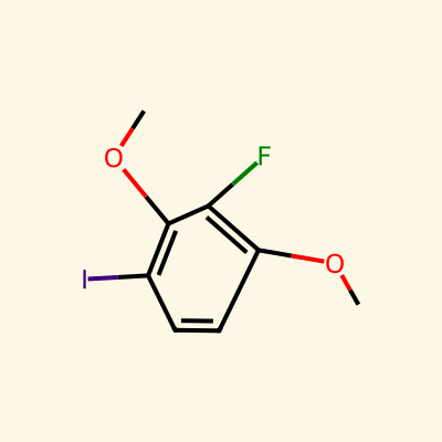 COc1ccc(I)c(OC)c1F